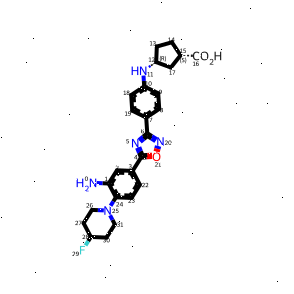 Nc1cc(-c2nc(-c3ccc(N[C@@H]4CC[C@H](C(=O)O)C4)cc3)no2)ccc1N1CCC(F)CC1